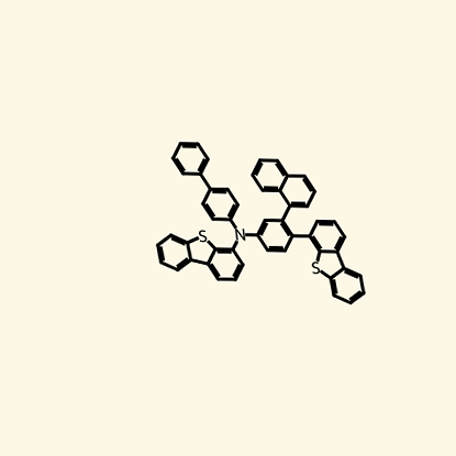 c1ccc(-c2ccc(N(c3ccc(-c4cccc5c4sc4ccccc45)c(-c4cccc5ccccc45)c3)c3cccc4c3sc3ccccc34)cc2)cc1